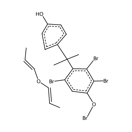 CC(C)(c1ccc(O)cc1)c1c(Br)cc(OBr)c(Br)c1Br.CC=COC=CC